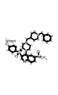 CCCCCCCOc1ccc(S(=O)(=O)c2cnc3ccc([S+](C)[O-])cc3c2N2CCN(CC3CCN(Cc4ccccc4)CC3)CC2)cc1